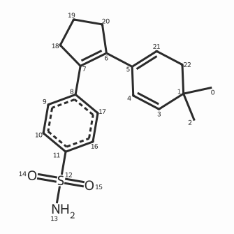 CC1(C)C=CC(C2=C(c3ccc(S(N)(=O)=O)cc3)CCC2)=CC1